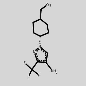 Nc1cn([C@H]2CC[C@H](CO)CC2)nc1C(F)(F)F